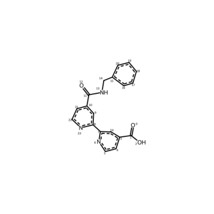 O=C(O)c1ccnc(-c2cc(C(=O)NCc3ccccc3)ccn2)c1